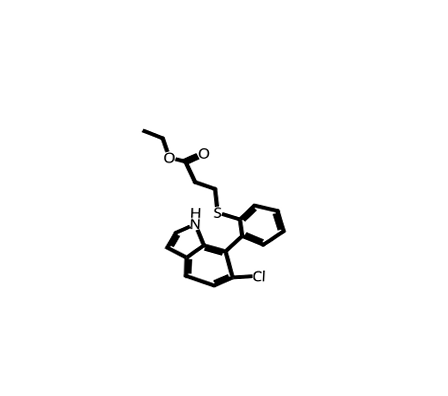 CCOC(=O)CCSc1ccccc1-c1c(Cl)ccc2cc[nH]c12